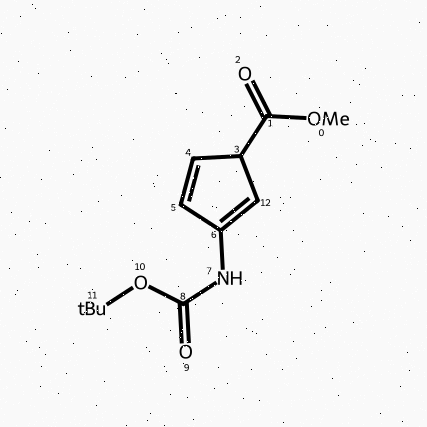 COC(=O)C1C=CC(NC(=O)OC(C)(C)C)=C1